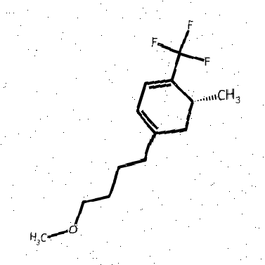 COCCCCC1=CC=C(C(F)(F)F)[C@H](C)C1